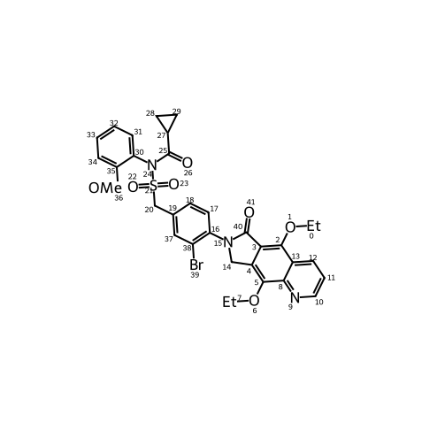 CCOc1c2c(c(OCC)c3ncccc13)CN(c1ccc(CS(=O)(=O)N(C(=O)C3CC3)c3ccccc3OC)cc1Br)C2=O